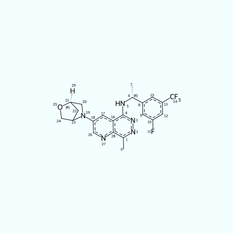 Cc1nnc(N[C@H](C)c2cc(F)cc(C(F)(F)F)c2)c2cc(N3C[C@H]4CC3CO4)cnc12